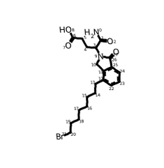 NC(=O)C(CCC(=O)O)N1Cc2c(CCCCCCCCBr)cccc2C1=O